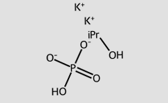 CC(C)O.O=P([O-])([O-])O.[K+].[K+]